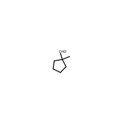 CC1([C]=O)CCCC1